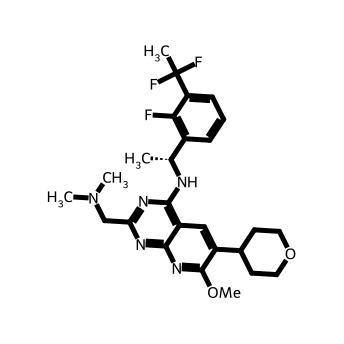 COc1nc2nc(CN(C)C)nc(N[C@H](C)c3cccc(C(C)(F)F)c3F)c2cc1C1CCOCC1